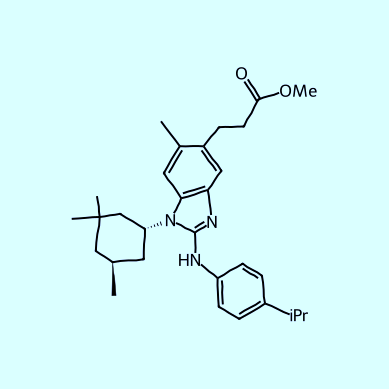 COC(=O)CCc1cc2nc(Nc3ccc(C(C)C)cc3)n([C@@H]3C[C@@H](C)CC(C)(C)C3)c2cc1C